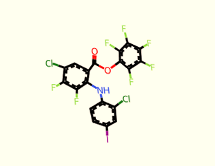 O=C(Oc1c(F)c(F)c(F)c(F)c1F)c1cc(Cl)c(F)c(F)c1Nc1ccc(I)cc1Cl